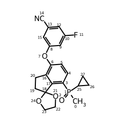 CP(=O)(c1ccc(Oc2cc(F)cc(C#N)c2)c2c1C1(CC2)OCCO1)C1CC1